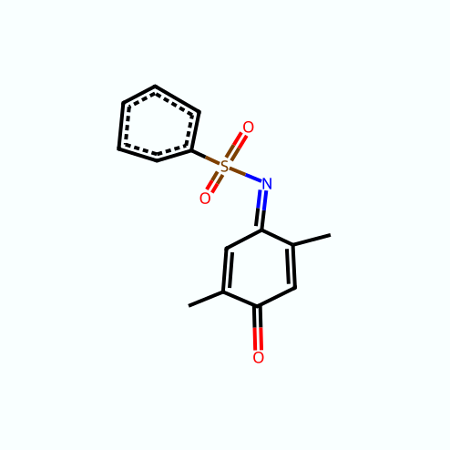 CC1=C/C(=N\S(=O)(=O)c2ccccc2)C(C)=CC1=O